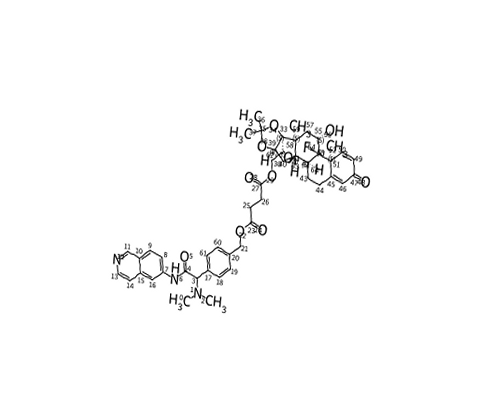 CN(C)C(C(=O)Nc1ccc2cnccc2c1)c1ccc(COC(=O)CCC(=O)OCC(=O)[C@@]23OC(C)(C)O[C@@H]2C[C@H]2[C@@H]4CCC5=CC(=O)C=C[C@]5(C)[C@@]4(F)[C@@H](O)C[C@@]23C)cc1